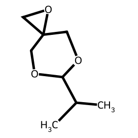 CC(C)C1OCC2(CO1)CO2